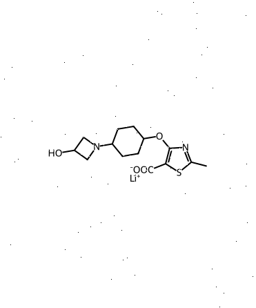 Cc1nc(OC2CCC(N3CC(O)C3)CC2)c(C(=O)[O-])s1.[Li+]